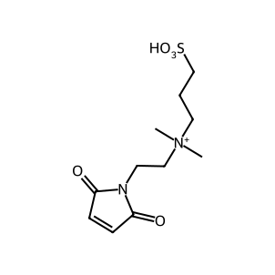 C[N+](C)(CCCS(=O)(=O)O)CCN1C(=O)C=CC1=O